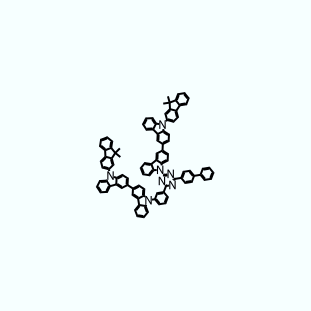 CC1(C)c2ccccc2-c2ccc(-n3c4ccccc4c4cc(-c5ccc6c(c5)c5ccccc5n6-c5cccc(-c6nc(-c7ccc(-c8ccccc8)cc7)nc(-n7c8ccccc8c8cc(-c9ccc%10c(c9)c9ccccc9n%10-c9ccc%10c(c9)C(C)(C)c9ccccc9-%10)ccc87)n6)c5)ccc43)cc21